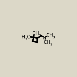 CN(C)CC1CCC1(C)C